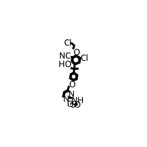 CC(C)(c1ccc(OCc2ccnc(NS(C)(=O)=O)n2)cc1)c1cc(Cl)c(OCCCl)c(C#N)c1O